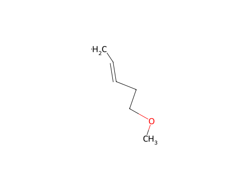 [CH2]C=CCCOC